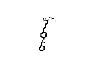 CC(=O)C=CC=Cc1ccc(OCc2ccccc2)cc1